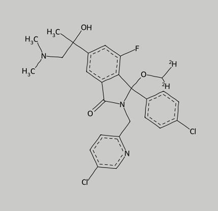 [2H]C([2H])OC1(c2ccc(Cl)cc2)c2c(F)cc(C(C)(O)CN(C)C)cc2C(=O)N1Cc1ccc(Cl)cn1